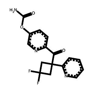 NC(=O)Oc1ccc(C(=O)C2(c3ccccn3)CC(F)(F)C2)nc1